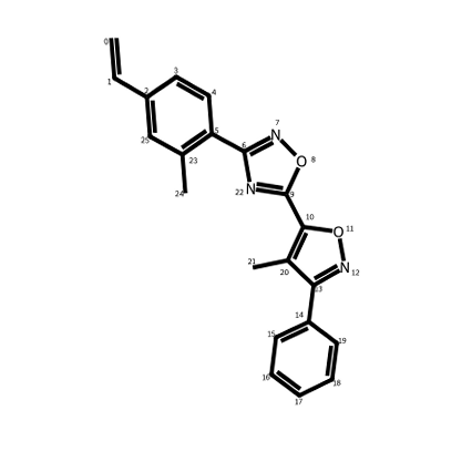 C=Cc1ccc(-c2noc(-c3onc(-c4ccccc4)c3C)n2)c(C)c1